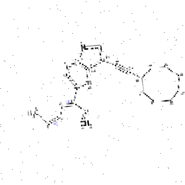 C=C/C(=C\C=C/C)c1ccn2ncc(C#CC3CCCCCCC3)c2n1